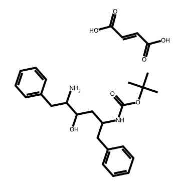 CC(C)(C)OC(=O)NC(Cc1ccccc1)CC(O)C(N)Cc1ccccc1.O=C(O)C=CC(=O)O